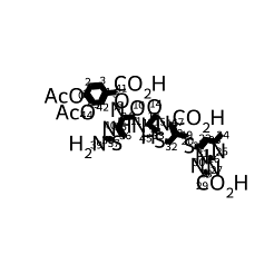 CC(=O)Oc1ccc(C(O/N=C(\C(=O)N[C@@H]2C(=O)N3C(C(=O)O)=C(CSc4cc(C)nc5nc(C(=O)O)nn45)CS[C@H]23)c2csc(N)n2)C(=O)O)cc1OC(C)=O